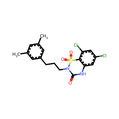 Cc1cc(C)cc(CCCN2C(=O)Nc3cc(Cl)cc(Cl)c3S2(=O)=O)c1